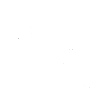 CCCCCCc1cccc(OCC/C=C/[C@H]2CCC(=O)[C@@H]2CC=C=CCC(O)C(=O)OC)c1